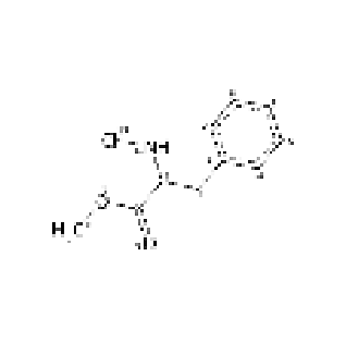 COC(=O)C(Cc1ccccc1)NCl